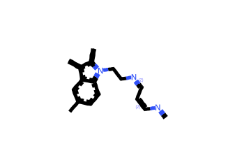 C=N/C=C\C=N/CCn1c(=C)c(=C)c2cc(C)ccc21